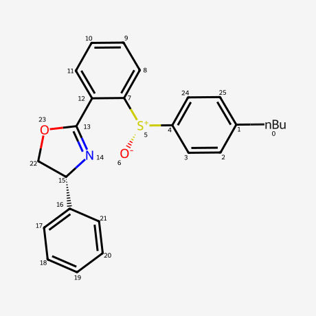 CCCCc1ccc([S@+]([O-])c2ccccc2C2=N[C@H](c3ccccc3)CO2)cc1